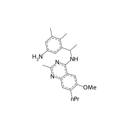 CCCc1cc2nc(C)nc(NC(C)c3cc(N)cc(C)c3C)c2cc1OC